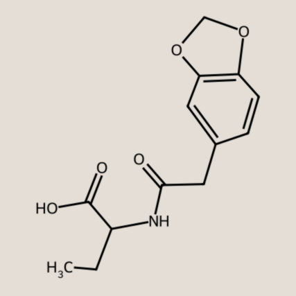 CCC(NC(=O)Cc1ccc2c(c1)OCO2)C(=O)O